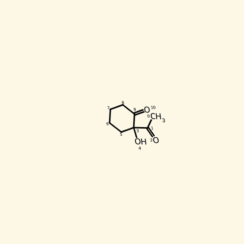 CC(=O)C1(O)CCCCC1=O